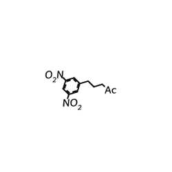 CC(=O)CCCc1cc([N+](=O)[O-])cc([N+](=O)[O-])c1